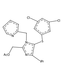 CC(=O)OCc1nc(C(C)C)c(Sc2cc(Cl)cc(Cl)c2)n1Cc1ccccn1